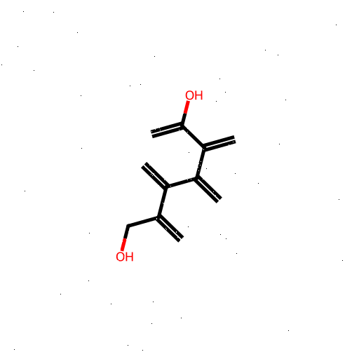 C=C(O)C(=C)C(=C)C(=C)C(=C)CO